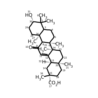 CC1(C)C2CC[C@]3(C)C(C(=O)C=C4[C@@H]5C[C@@](C)(C(=O)O)CC[C@]5(C)CC[C@@]43C)[C@@]2(C)CC[C@@H]1O